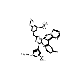 COc1cc(CC(=O)OC(C(=O)Nc2nn3cccnc3c2-c2cccc(F)c2)c2cc(OC)cc(OC)c2)cc(OC)c1